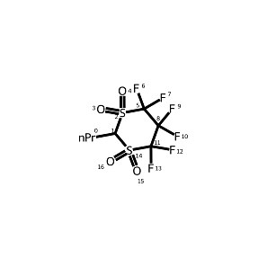 CCCC1S(=O)(=O)C(F)(F)C(F)(F)C(F)(F)S1(=O)=O